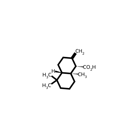 C=C1CC[C@H]2C(C)(C)CCC[C@]2(C)[C@H]1C(=O)O